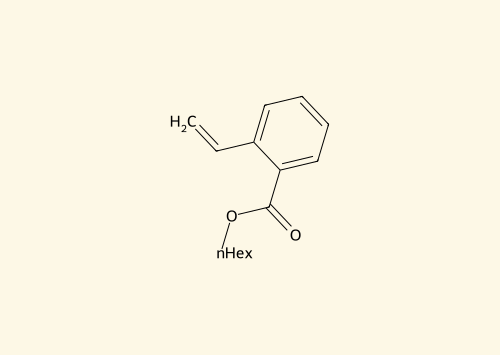 C=Cc1ccccc1C(=O)OCCCCCC